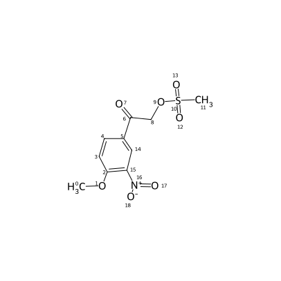 COc1ccc(C(=O)COS(C)(=O)=O)cc1[N+](=O)[O-]